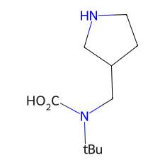 CC(C)(C)N(CC1CCNC1)C(=O)O